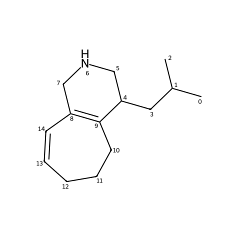 CC(C)CC1CNCC2=C1CCCC=C2